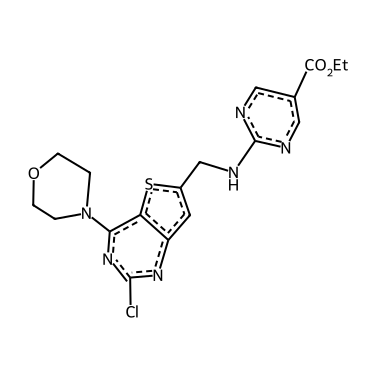 CCOC(=O)c1cnc(NCc2cc3nc(Cl)nc(N4CCOCC4)c3s2)nc1